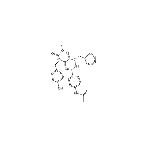 COC(=O)[C@H](Cc1ccc(O)cc1)NC(=O)[C@H](Cc1ccccc1)NC(=O)c1ccc(NC(C)=O)cc1